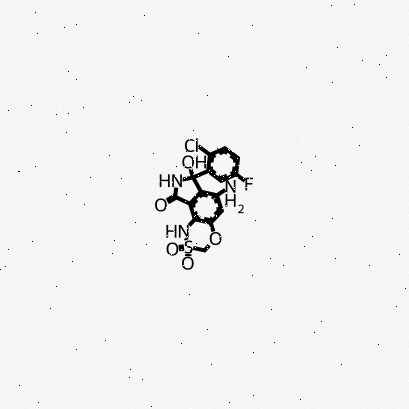 Nc1cc2c(c3c1C(O)(c1cc(F)ccc1Cl)NC3=O)NS(=O)(=O)CO2